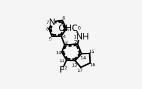 O=CNc1c(-c2ccncc2)cc(F)c2c1CCC2